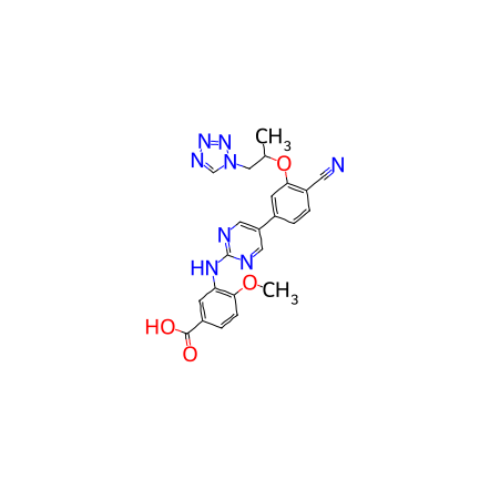 COc1ccc(C(=O)O)cc1Nc1ncc(-c2ccc(C#N)c(OC(C)Cn3cnnn3)c2)cn1